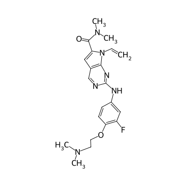 C=Cn1c(C(=O)N(C)C)cc2cnc(Nc3ccc(OCCN(C)C)c(F)c3)nc21